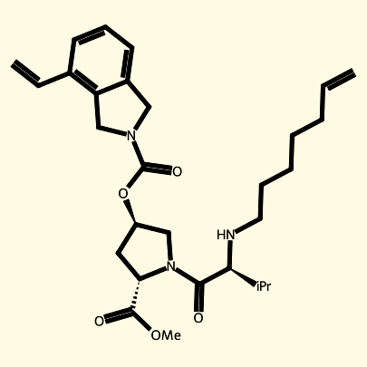 C=CCCCCCN[C@H](C(=O)N1C[C@H](OC(=O)N2Cc3cccc(C=C)c3C2)C[C@H]1C(=O)OC)C(C)C